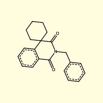 O=C1c2ccccc2C2(CCCCC2)C(=O)N1Cc1ccccc1